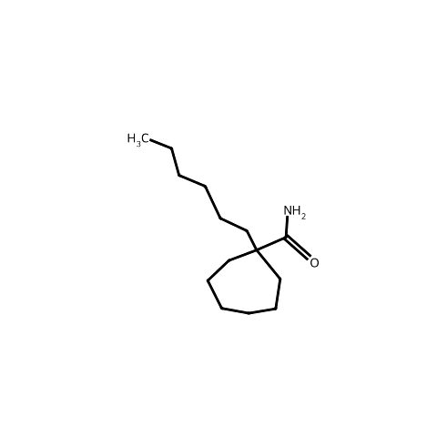 CCCCCCC1(C(N)=O)CCCCCC1